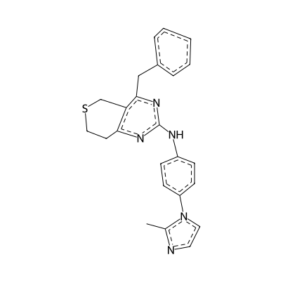 Cc1nccn1-c1ccc(Nc2nc3c(c(Cc4ccccc4)n2)CSCC3)cc1